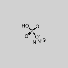 O=P([O-])([O-])O.[N+].[N+].[S]